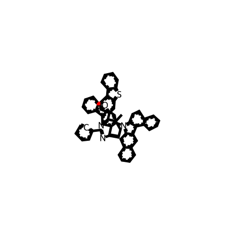 CC1C/C=C(c2cc3c(cc2-n2c4cc5ccccc5cc4c4c5ccccc5ccc42)oc2ccccc23)/N=C(c2ccccc2)\N=C/1c1ccc2c(c1)sc1ccccc12